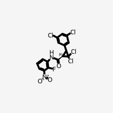 O=C(Nc1cccc([N+](=O)[O-])c1F)[C@H]1C(c2cc(Cl)cc(Cl)c2)C1(Cl)Cl